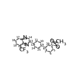 CS(=O)(=O)c1cccc(-c2ccc(-c3cnc4cccc(C(F)(F)F)c4n3)cc2)c1